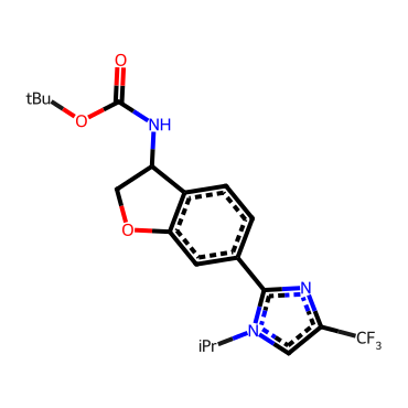 CC(C)n1cc(C(F)(F)F)nc1-c1ccc2c(c1)OCC2NC(=O)OC(C)(C)C